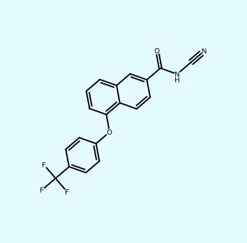 N#CNC(=O)c1ccc2c(Oc3ccc(C(F)(F)F)cc3)cccc2c1